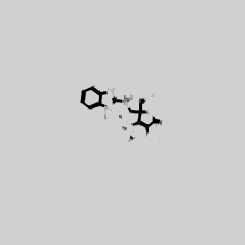 COP(=O)(OC)C1=C(O)C(=O)OC1(C[S+]([O-])c1nc2ccccc2[nH]1)C(=O)O